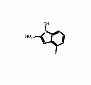 O=C(O)c1cc2c(F)cccc2n1O